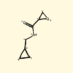 O=C(NCC1CC1)C1CO1